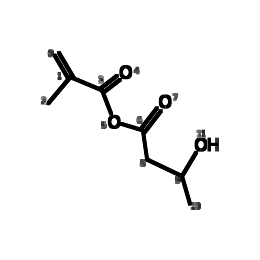 C=C(C)C(=O)OC(=O)CC(C)O